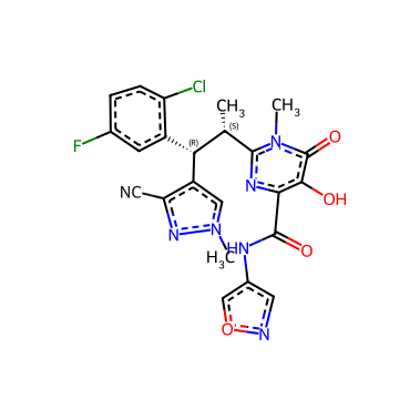 C[C@H](c1nc(C(=O)Nc2cnoc2)c(O)c(=O)n1C)[C@@H](c1cc(F)ccc1Cl)c1cn(C)nc1C#N